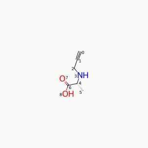 C#CCN[C@H](C)C(=O)O